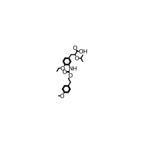 CCOc1ccc(CC(OC(C)C)C(=O)O)cc1NC(=O)OCCc1ccc(OC)cc1